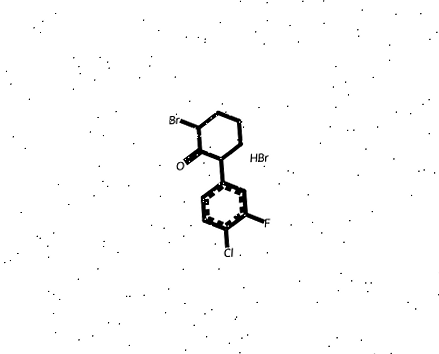 Br.O=C1C(Br)CCCC1c1ccc(Cl)c(F)c1